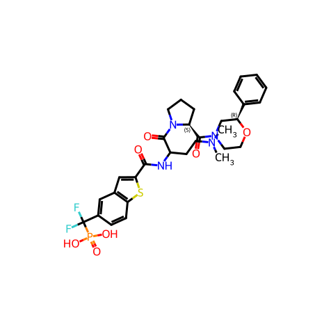 CN(C)CCC(NC(=O)c1cc2cc(C(F)(F)P(=O)(O)O)ccc2s1)C(=O)N1CCC[C@H]1C(=O)N1CCO[C@H](c2ccccc2)C1